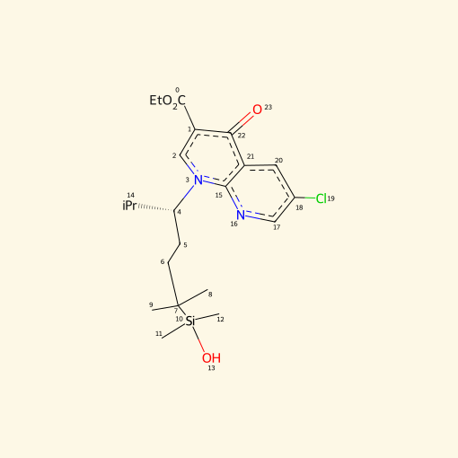 CCOC(=O)c1cn([C@H](CCC(C)(C)[Si](C)(C)O)C(C)C)c2ncc(Cl)cc2c1=O